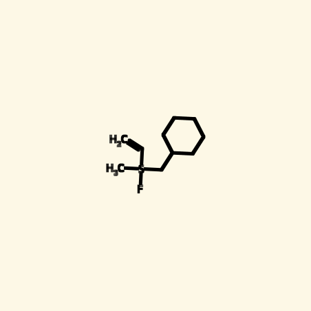 C=CS(C)(F)CC1CCCCC1